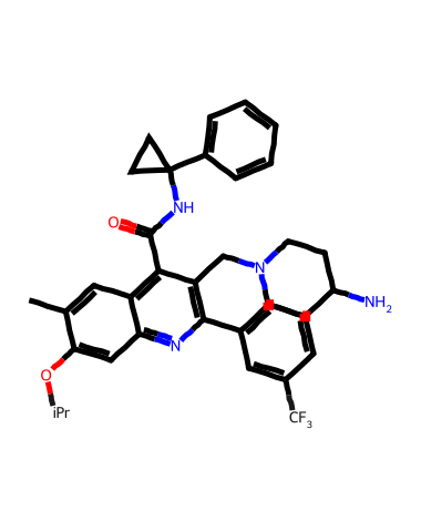 Cc1cc2c(C(=O)NC3(c4ccccc4)CC3)c(CN3CCC(N)CC3)c(-c3cccc(C(F)(F)F)c3)nc2cc1OC(C)C